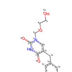 O=c1[nH]c(=O)n(COCCO)cc1Cc1ccccc1